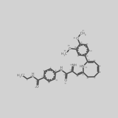 CCNC(=O)c1ccc(NC(=O)C(=N)/C=C2/CC/C=C\C=C(\c3ccc(OC)c(OC)c3)N2)cc1